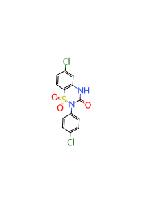 O=C1Nc2cc(Cl)ccc2S(=O)(=O)N1c1ccc(Cl)cc1